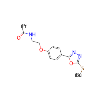 CCC(C)Sc1nnc(-c2ccc(OCCNC(=O)C(C)C)cc2)o1